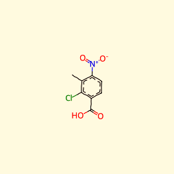 Cc1c([N+](=O)[O-])ccc(C(=O)O)c1Cl